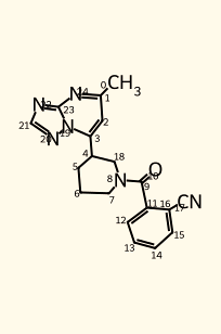 Cc1cc(C2CCCN(C(=O)c3ccccc3C#N)C2)n2ncnc2n1